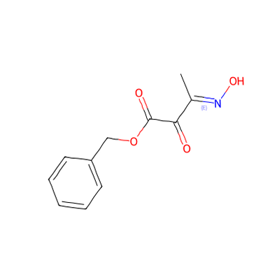 C/C(=N\O)C(=O)C(=O)OCc1ccccc1